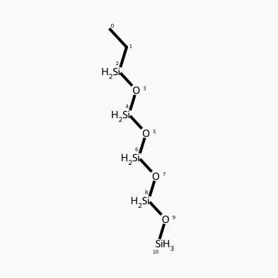 CC[SiH2]O[SiH2]O[SiH2]O[SiH2]O[SiH3]